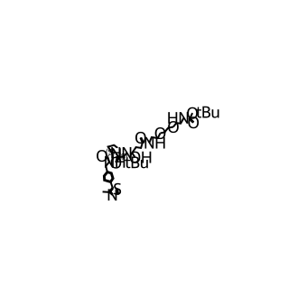 Cc1ncsc1-c1ccc(CNC(=O)[C@@H]2CCCN2C(=O)[C@@H](NC(O)CCC(=O)NCCOCCOCCNC(=O)OC(C)(C)C)C(C)(C)C)cc1